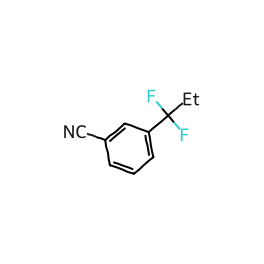 [CH2]CC(F)(F)c1cccc(C#N)c1